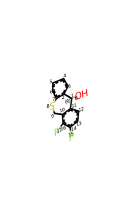 O[C@H]1c2ccccc2SCc2c1ccc(F)c2F